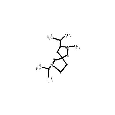 CC(C)C1CC2(CCN(C(C)C)C2)CN1C